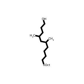 CCCCCCCCCCCCC(C)CC(C)CCCO